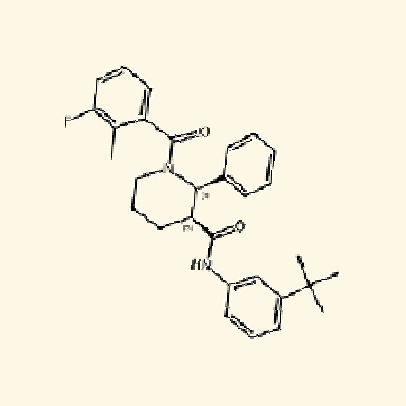 Cc1c(F)cccc1C(=O)N1CCC[C@H](C(=O)Nc2cccc(C(C)(C)C)c2)[C@@H]1c1ccccc1